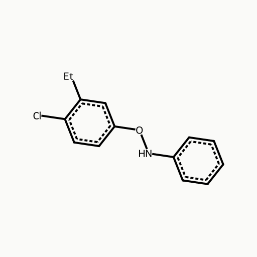 CCc1cc(ONc2ccccc2)ccc1Cl